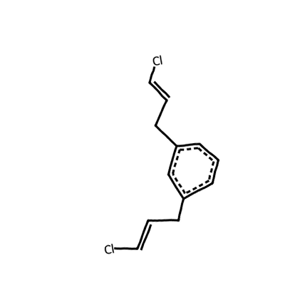 ClC=CCc1cccc(CC=CCl)c1